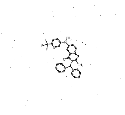 Cc1nc2ccc(N(C)c3ccc(C(F)(F)F)nc3)cc2c(=O)n1C(c1ccccc1)c1ccccc1